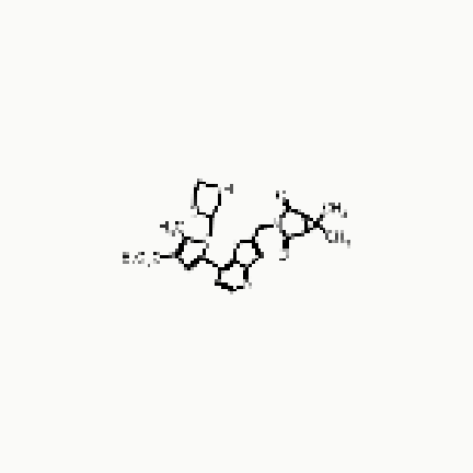 CCOC(=O)c1cc(-c2ccnc3cc(CN4C(=O)C5C(C4=O)C5(C)C)sc23)n(CC2CNCCO2)c1C